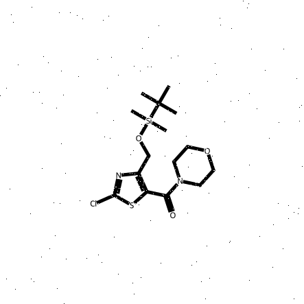 CC(C)(C)[Si](C)(C)OCc1nc(Cl)sc1C(=O)N1CCOCC1